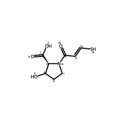 O=C(O)[C@@H]1C(O)CCN1C(=O)C=CS